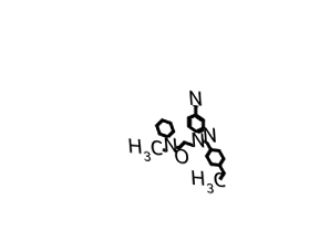 CCC1CCC(c2nc3cc(C#N)ccc3n2CCC(=O)N(CC)C2CCCCC2)CC1